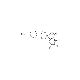 CCCCCC1CCC(C2CCC(C(=O)O)(c3cc(F)c(F)c(F)c3)CC2)CC1